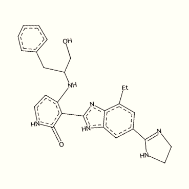 CCc1cc(C2=NCCN2)cc2[nH]c(-c3c(NC(CO)Cc4ccccc4)cc[nH]c3=O)nc12